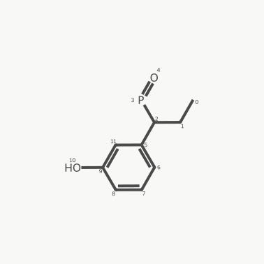 CCC(P=O)c1cccc(O)c1